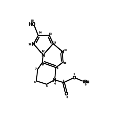 CC(C)(C)OC(=O)N1CCCc2c1cnc1cc(O)nn21